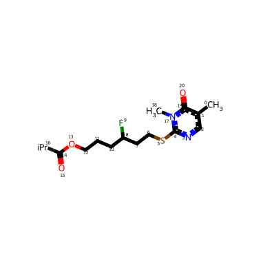 Cc1cnc(SCCC(F)CCCOC(=O)C(C)C)n(C)c1=O